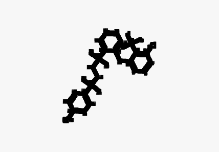 CC(C)(C)c1c(Cl)cccc1Cc1ccccc1C(C)(C)CCC(C)(C)c1ccc(Cl)cc1